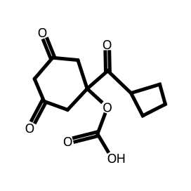 O=C1CC(=O)CC(OC(=O)O)(C(=O)C2CCC2)C1